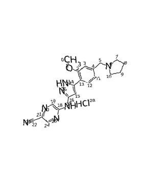 COc1cc(CN2CCCC2)ccc1-c1cc(Nc2cnc(C#N)cn2)n[nH]1.Cl